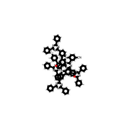 N#Cc1ccc(-c2ccc(-n3c4ccc(-c5nc(-c6ccccc6)nc(-c6ccccc6)n5)cc4c4cc(-c5nc(-c6ccccc6)nc(-c6ccccc6)n5)ccc43)c(-c3nc(-c4ccccc4)nc(-c4cc(C#N)ccc4-n4c5ccc(-c6nc(-c7ccccc7)nc(-c7ccccc7)n6)cc5c5cc(-c6nc(-c7ccccc7)nc(-c7ccccc7)n6)ccc54)n3)c2)cc1